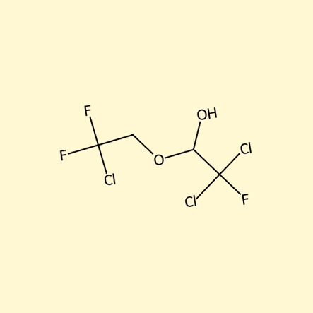 OC(OCC(F)(F)Cl)C(F)(Cl)Cl